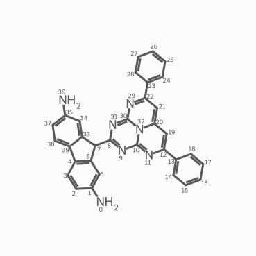 Nc1ccc2c(c1)C(C1=NC3=NC(c4ccccc4)=CC4=CC(c5ccccc5)=NC(=N1)N43)c1cc(N)ccc1-2